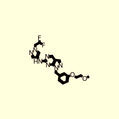 COCCOc1cccc(Cn2ncc3cnc(Nc4cnn(CC(F)F)c4)nc32)c1